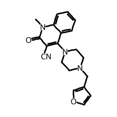 Cn1c(=O)c(C#N)c(N2CCN(Cc3ccoc3)CC2)c2ccccc21